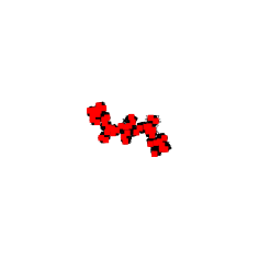 c1ccc(-c2c3ccc(-c4ccc5c(c4)c4cc(-c6ccc7c(c6)C(c6ccccc6)(c6ccccc6)c6ccccc6-7)ccc4n5-c4ccccc4)cc3c(-c3ccccc3)c3ccc(-c4ccc5c(c4)c4cc(-c6ccc7c(c6)C(c6ccccc6)(c6ccccc6)c6ccccc6-7)ccc4n5-c4ccccc4)cc23)cc1